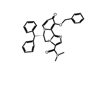 CN(C)C(=O)c1cnc2n1C[C@H](C(c1ccccc1)c1ccccc1)n1ccc(=O)c(OCc3ccccc3)c1-2